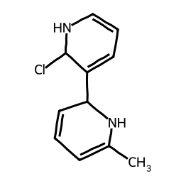 CC1=CC=CC(C2=CC=CNC2Cl)N1